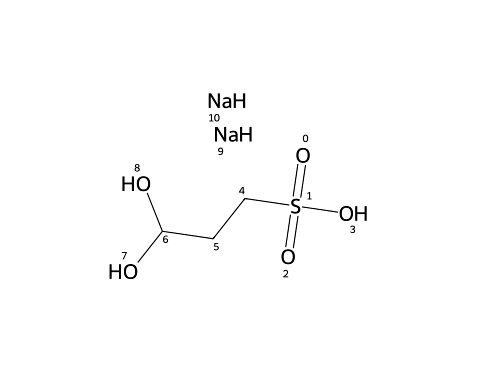 O=S(=O)(O)CCC(O)O.[NaH].[NaH]